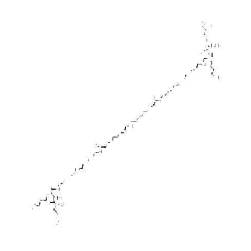 NCCCCC[C@H](N)C(=O)N[C@@H](CCCCN)C(=O)NCCCOCCOCCOCCCNC(=O)CCOCCOCCOCCOCCOCCC(=O)NCCCOCCOCCOCCCNC(=O)[C@H](CCCCN)NC(=O)[C@@H](N)CCCCN